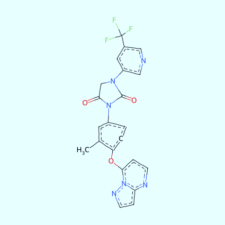 Cc1cc(N2C(=O)CN(c3cncc(C(F)(F)F)c3)C2=O)ccc1Oc1ccnc2ccnn12